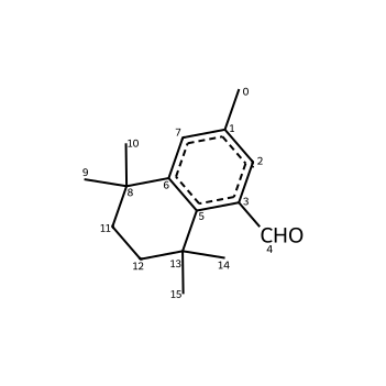 Cc1[c]c(C=O)c2c(c1)C(C)(C)CCC2(C)C